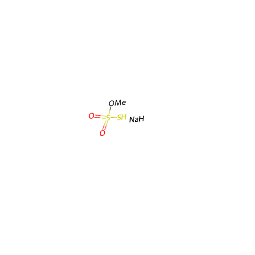 COS(=O)(=O)S.[NaH]